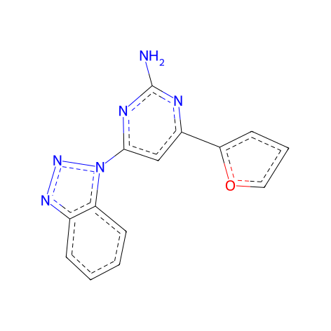 Nc1nc(-c2ccco2)cc(-n2nnc3ccccc32)n1